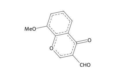 COc1cccc2c(=O)c(C=O)coc12